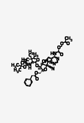 CC(=O)OCOC(=O)Nc1ncnn2c([C@]3(C#N)O[C@H](COC(=O)Cc4ccccc4)[C@@H](OC(=O)[C@@H](NC(=O)OC(C)(C)C)C(C)(C)C)[C@H]3O)ccc12